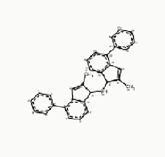 CC1=Cc2c(-c3ccccc3)cccc2C1BC1C(C)=Cc2c(-c3ccccc3)cccc21